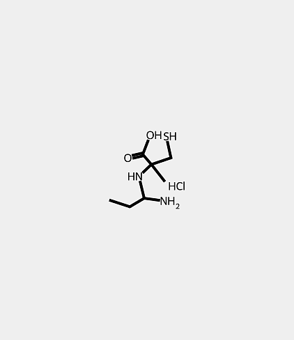 CCC(N)NC(C)(CS)C(=O)O.Cl